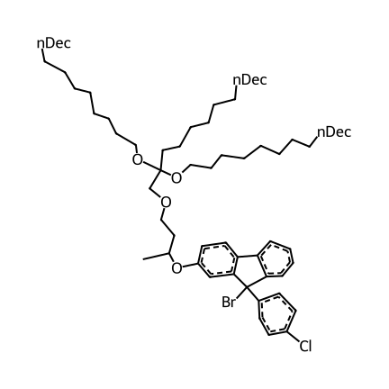 CCCCCCCCCCCCCCCCCCOC(CCCCCCCCCCCCCCCC)(COCCC(C)Oc1ccc2c(c1)C(Br)(c1ccc(Cl)cc1)c1ccccc1-2)OCCCCCCCCCCCCCCCCCC